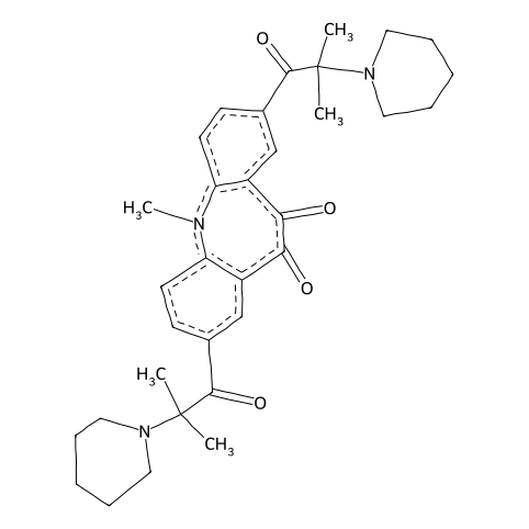 Cn1c2ccc(C(=O)C(C)(C)N3CCCCC3)cc2c(=O)c(=O)c2cc(C(=O)C(C)(C)N3CCCCC3)ccc21